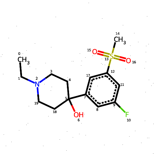 CCN1CCC(O)(c2cc(F)cc(S(C)(=O)=O)c2)CC1